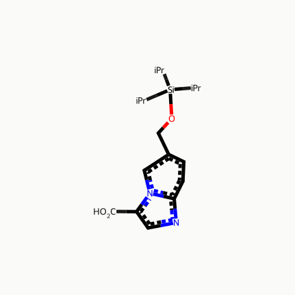 CC(C)[Si](OCc1ccc2ncc(C(=O)O)n2c1)(C(C)C)C(C)C